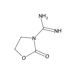 N=C(N)N1CCOC1=O